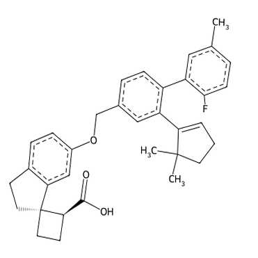 Cc1ccc(F)c(-c2ccc(COc3ccc4c(c3)[C@]3(CC4)CC[C@@H]3C(=O)O)cc2C2=CCCC2(C)C)c1